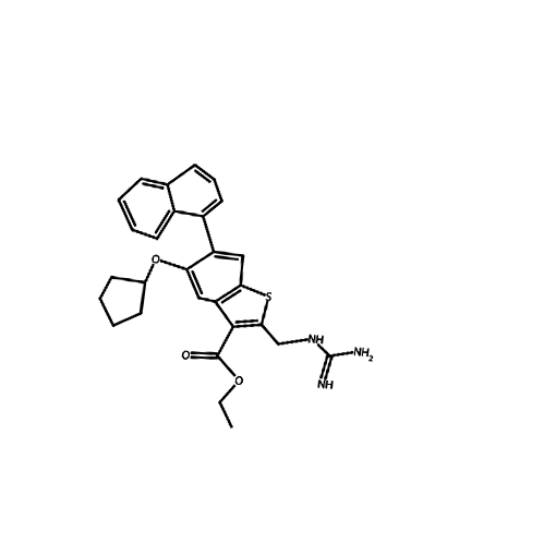 CCOC(=O)c1c(CNC(=N)N)sc2cc(-c3cccc4ccccc34)c(OC3CCCC3)cc12